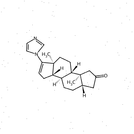 C[C@]12CC(=O)C[C@@H]1CC[C@@H]1[C@@H]2CC[C@]2(C)C(n3ccnc3)=CC[C@@H]12